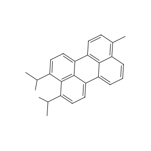 Cc1ccc2c3ccc(C(C)C)c4c(C(C)C)ccc(c5cccc1c52)c43